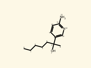 CCCCCC(C)(O)c1ccc(N)nc1